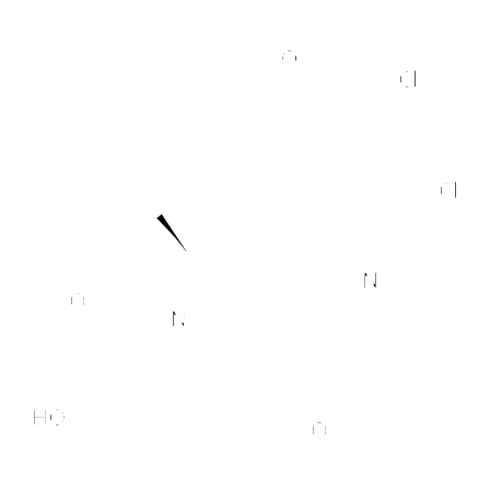 COc1cc2c3c(c(-c4ccco4)nc2c(Cl)c1Cl)CN(C(=O)CO)[C@H]3C